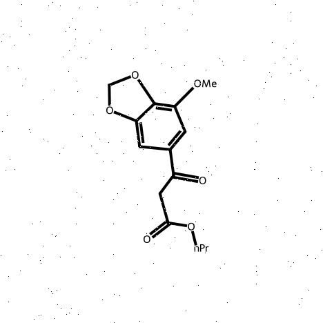 CCCOC(=O)CC(=O)c1cc(OC)c2c(c1)OCO2